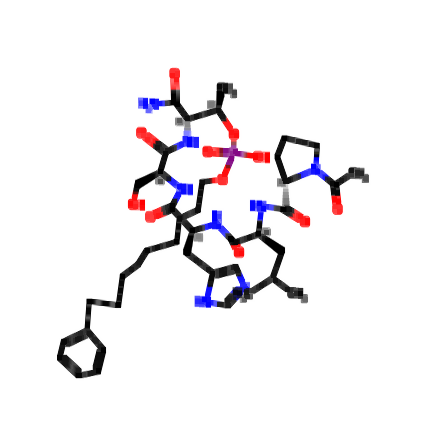 CC(=O)N1CCC[C@H]1C(=O)N[C@@H](CC(C)C)C(=O)N[C@@H](Cc1cnc[nH]1)C(=O)N[C@@H](CO)C(=O)N[C@H](C(N)=O)[C@@H](C)OP(=O)(O)OCCCCCCCCCc1ccccc1